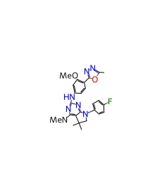 CNc1nc(Nc2ccc(-c3nnc(C)o3)c(OC)c2)nc2c1C(C)(C)CN2c1ccc(F)cc1